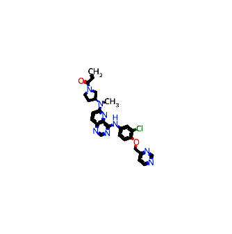 C=CC(=O)N1CC[C@H](N(C)c2ccc3ncnc(Nc4ccc(OCc5ccncn5)c(Cl)c4)c3n2)C1